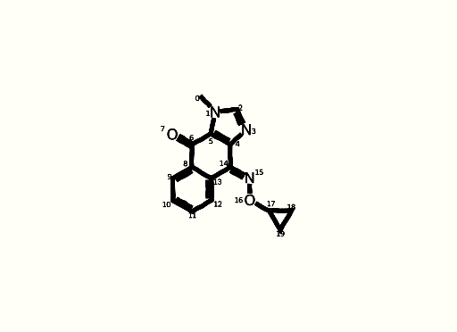 Cn1cnc2c1C(=O)c1ccccc1C2=NOC1CC1